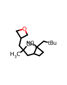 CC(C)(C)CC1(C#N)CCC1CC(C)(C)CC1COC1